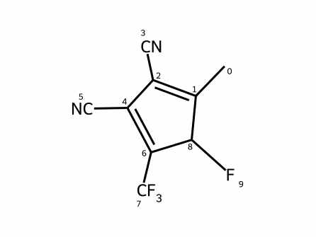 CC1=C(C#N)C(C#N)=C(C(F)(F)F)C1F